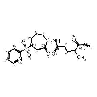 CC(C[CH]C(=O)N[C@H]1CCCN(S(=O)(=O)c2ccccn2)CC1=O)C(N)=O